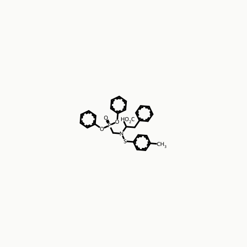 Cc1ccc(SN(CP(=O)(Oc2ccccc2)Oc2ccccc2)C(Cc2ccccc2)C(=O)O)cc1